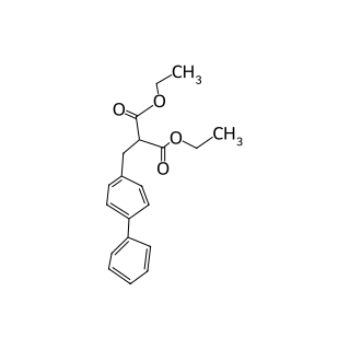 CCOC(=O)C(Cc1ccc(-c2ccccc2)cc1)C(=O)OCC